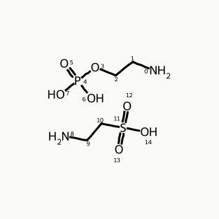 NCCOP(=O)(O)O.NCCS(=O)(=O)O